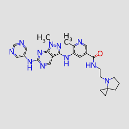 Cc1ncc(C(=O)NCCN2CCCC23CC3)cc1Nc1nn(C)c2nc(Nc3cncnc3)ncc12